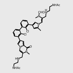 CC(=O)NCCNC/C(=C/n1cc(-c2cccc(-c3cccc(-c4cc5c(=O)n(C)c(CNCCNC(C)=O)cn5c4)c3Cl)c2Cl)cc1C)N(C)C=O